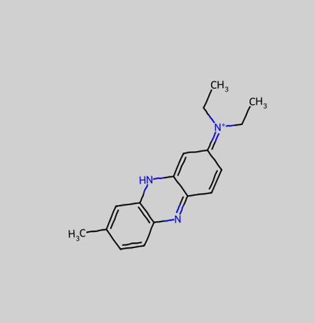 CC[N+](CC)=c1ccc2nc3ccc(C)cc3[nH]c-2c1